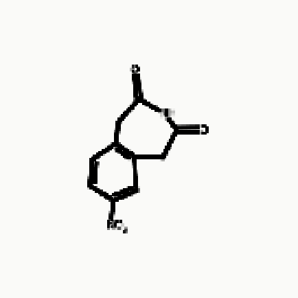 O=C1Cc2ccc([N+](=O)[O-])cc2CC(=O)N1